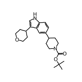 CC(C)(C)OC(=O)N1CCC(c2ccc3[nH]cc(C4CCOCC4)c3c2)CC1